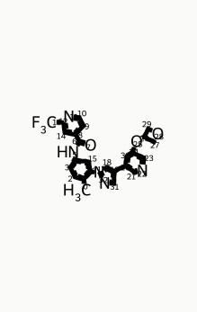 Cc1ccc(NC(=O)c2ccnc(C(F)(F)F)c2)cc1-n1cc(-c2cncc(OC3COC3)c2)cn1